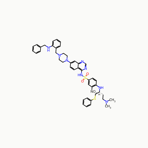 CN(C)CC[C@H](CSc1ccccc1)Nc1ccc(S(=O)(=O)Nc2ncnc3cc(N4CCN(Cc5ccccc5NCc5ccccc5)CC4)ccc23)cc1[N+](=O)[O-]